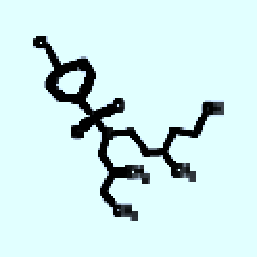 C=C(CC)CN(CCC(C)CCO)S(=O)(=O)c1ccc(Cl)cc1